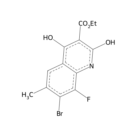 CCOC(=O)c1c(O)nc2c(F)c(Br)c(C)cc2c1O